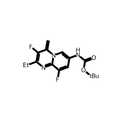 C=C1C(F)=C(CC)N=C2C(F)=CC(NC(=O)OC(C)(C)C)=CN12